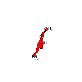 C#CCN(/N=C/c1cc(OC(=O)[C@H]2CC[C@H](C(=O)Oc3ccc(OCCCCCCOC(=O)C=C)cc3)CC2)ccc1OC(=O)[C@H]1CC[C@H](C(=O)Oc2ccc(OCCCCCCOC(=O)C=C)cc2)CC1)c1nc2ccccc2s1